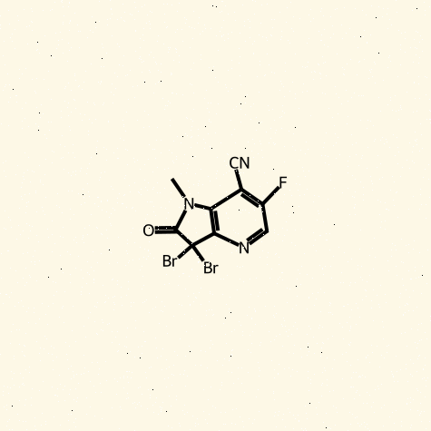 CN1C(=O)C(Br)(Br)c2ncc(F)c(C#N)c21